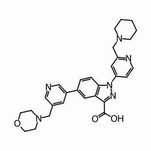 O=C(O)c1nn(-c2ccnc(CN3CCCCC3)c2)c2ccc(-c3cncc(CN4CCOCC4)c3)cc12